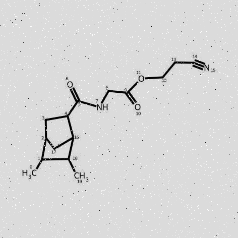 CC1C2CC(C(=O)NCC(=O)OCCC#N)C(C2)C1C